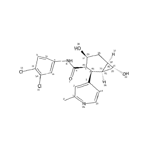 Cc1cc([C@H]2[C@@H](C(=O)Nc3ccc(Cl)c(Cl)c3)[C@@H](O)C[C@H]3[C@H](O)[C@H]32)ccn1